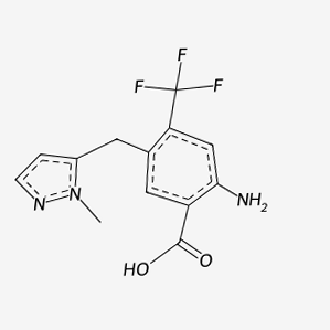 Cn1nccc1Cc1cc(C(=O)O)c(N)cc1C(F)(F)F